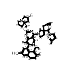 C#CCC1(C(=O)n2ccc(C)n2)CCN(c2nc(OC[C@@]34CCCN3C[C@H](F)C4)nc3c(F)c(-c4cc(O)cc5ccc(F)c(CC)c45)ncc23)C1